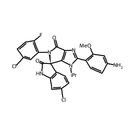 COc1cc(N)ccc1-c1nc2c(n1C(C)C)[C@]1(C(=O)Nc3cc(Cl)ccc31)N(c1cc(Cl)ccc1F)C2=O